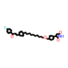 O=C1C=C(c2ccc(COCCCCCCCCCCc3ccc(C=CC(=O)c4ccc(F)cc4)cc3)cc2)C(=O)N1